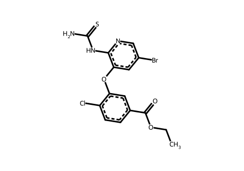 CCOC(=O)c1ccc(Cl)c(Oc2cc(Br)cnc2NC(N)=S)c1